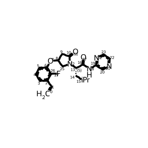 C=Cc1cccc(OC2CC(=O)N([C@@H](CC(C)C)C(=O)Nc3cnccn3)C2)c1F